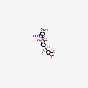 CCC(CN)(c1ccc(OC)cc1)N1C(=O)c2ccc(C(c3ccc4c(c3)C(=O)CC4=O)(C(F)(F)F)C(F)(F)F)cc2C1=O